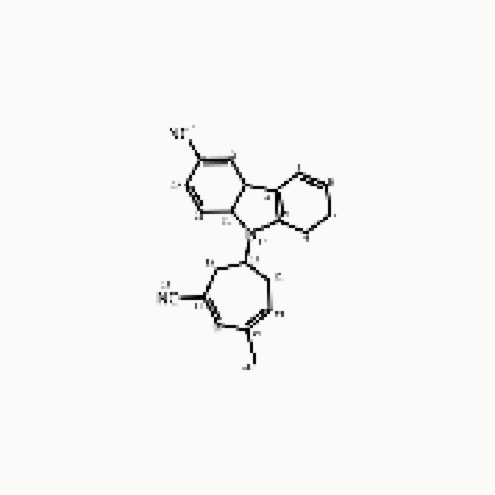 N#CC1=CC2C3=C(CCC=C3)N(C3CC=C(I)C=C(C#N)C3)C2C=C1